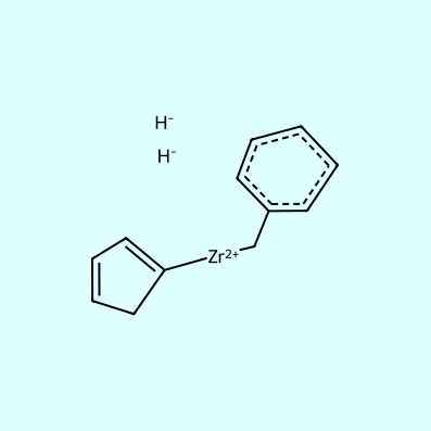 C1=CC[C]([Zr+2][CH2]c2ccccc2)=C1.[H-].[H-]